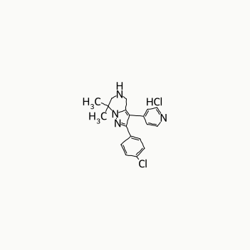 CC1(C)CNCc2c(-c3ccncc3)c(-c3ccc(Cl)cc3)nn21.Cl